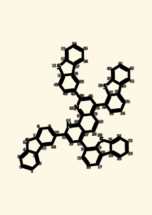 c1ccc2c(c1)sc1ccc(-c3cc(-c4cccc5c4sc4ccccc45)c4ccc5c(-c6cccc7c6sc6ccccc67)cc(-c6ccc7sc8ccccc8c7c6)nc5c4n3)cc12